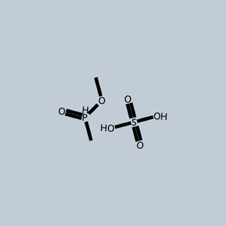 CO[PH](C)=O.O=S(=O)(O)O